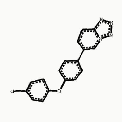 Clc1ccc(Oc2ccc(-c3ccc4nnnn4c3)cc2)cc1